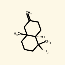 C=C1CC[C@H]2C(C)(C)CCCC2(C)C1